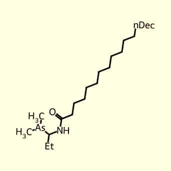 CCCCCCCCCCCCCCCCCCCCCC(=O)NC(CC)[As](C)C